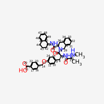 CN[C@@H](C)C(=O)N[C@@H](Cc1ccc(OCc2ccc(C(=O)O)cc2)cc1)C(=O)N1Cc2ccccc2C[C@H]1C(=O)N[C@@H]1CCCc2ccccc21